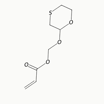 C=CC(=O)OCOC1CSCCO1